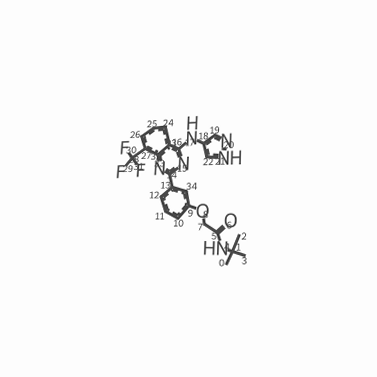 CC(C)(C)NC(=O)COc1cccc(-c2nc(Nc3cn[nH]c3)c3cccc(C(F)(F)F)c3n2)c1